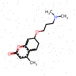 Cc1cc(=O)oc2c1=CCC(OCCCN(C)C)C=2